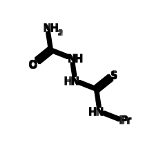 CC(C)NC(=S)NNC(N)=O